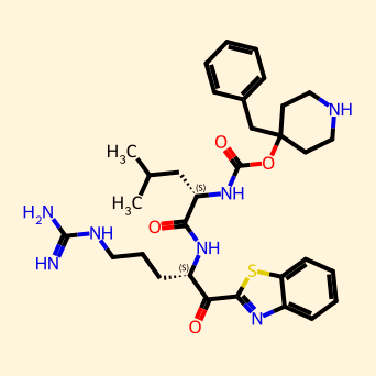 CC(C)C[C@H](NC(=O)OC1(Cc2ccccc2)CCNCC1)C(=O)N[C@@H](CCCNC(=N)N)C(=O)c1nc2ccccc2s1